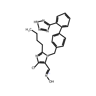 CCCCc1nc(Cl)c(/C=N/O)n1Cc1ccc(-c2ccccc2-c2nn[nH]n2)cc1